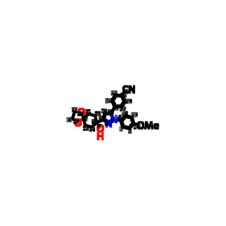 COc1ccc(-n2nc(C3(O)CCC4(CC3)OCCO4)cc2-c2ccc(C#N)cc2)cc1